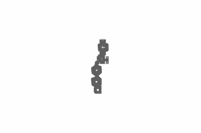 CN1CCN(CCNCc2ccc(-c3ccc(Cl)cc3)cc2)CC1